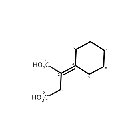 O=C(O)CC(C(=O)O)=C1CCCCC1